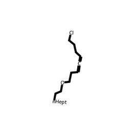 CCCCCCCCCOCCC=C=CCCCCl